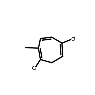 CC1=C(Cl)CC=C(Cl)C=C1